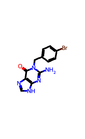 Nc1nc2[nH]cnc2c(=O)n1Cc1ccc(Br)cc1